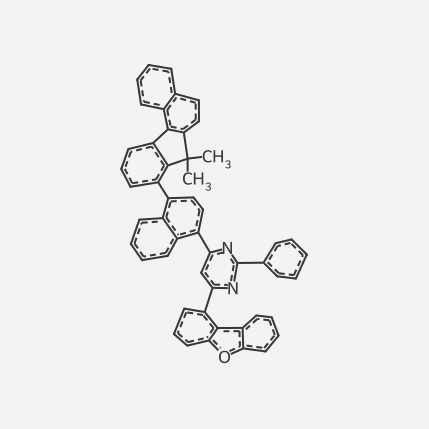 CC1(C)c2ccc3ccccc3c2-c2cccc(-c3ccc(-c4cc(-c5cccc6oc7ccccc7c56)nc(-c5ccccc5)n4)c4ccccc34)c21